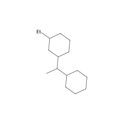 CCC1CCCC(C(C)C2CCCCC2)C1